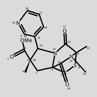 COC(=O)[C@@]1(C)CC23SSC(C)(C(=O)N2C1c1cccnc1)N(C)C3=O